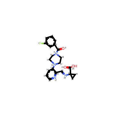 O=C(c1cccc(F)c1)N1CCN(c2cccnc2C=NC2(C(=O)O)CC2)CC1